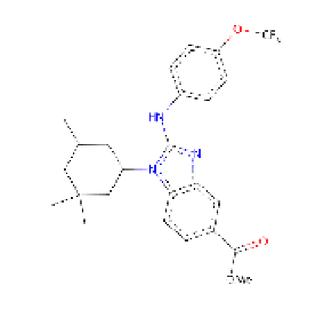 COC(=O)c1ccc2c(c1)nc(Nc1ccc(OC(F)(F)F)cc1)n2C1CC(C)CC(C)(C)C1